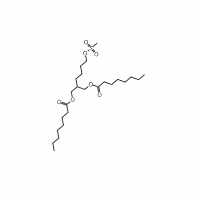 CCCCCCCC(=O)OCC(CCCCOS(C)(=O)=O)COC(=O)CCCCCCC